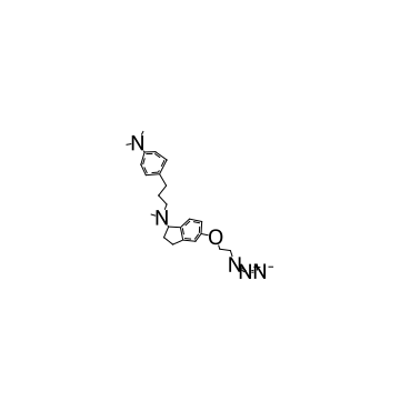 CN(C)c1ccc(CCCN(C)C2CCc3cc(OCCN=[N+]=[N-])ccc32)cc1